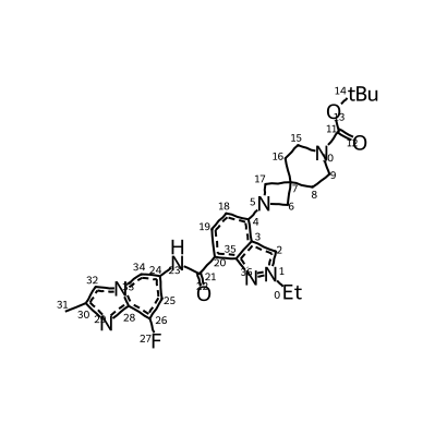 CCn1cc2c(N3CC4(CCN(C(=O)OC(C)(C)C)CC4)C3)ccc(C(=O)Nc3cc(F)c4nc(C)cn4c3)c2n1